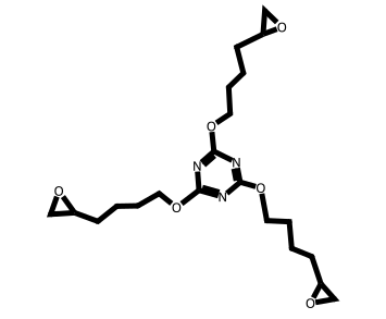 C(CCC1CO1)COc1nc(OCCCCC2CO2)nc(OCCCCC2CO2)n1